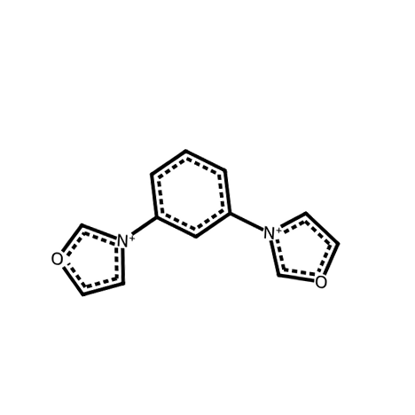 c1cc(-[n+]2ccoc2)cc(-[n+]2ccoc2)c1